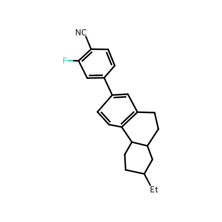 CCC1CCC2c3ccc(-c4ccc(C#N)c(F)c4)cc3CCC2C1